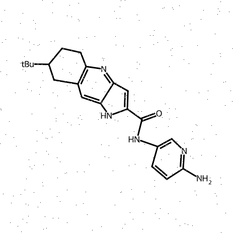 CC(C)(C)C1CCc2nc3cc(C(=O)Nc4ccc(N)nc4)[nH]c3cc2C1